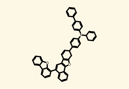 C1=CCC(N(c2ccc(-c3ccccc3)cc2)c2ccc(C3C=Cc4c(oc5c4cc(-c4cccc6c4oc4ccccc46)c4ccccc45)C3)cc2)C=C1